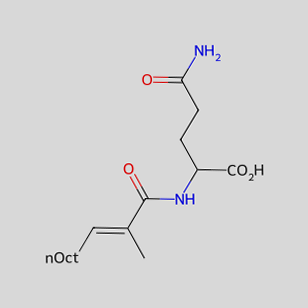 CCCCCCCC/C=C(\C)C(=O)NC(CCC(N)=O)C(=O)O